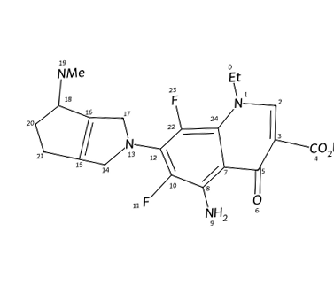 CCn1cc(C(=O)O)c(=O)c2c(N)c(F)c(N3CC4=C(C3)C(NC)CC4)c(F)c21